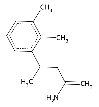 C=C(N)CC(C)c1cccc(C)c1C